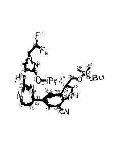 CC(C)Oc1nn(CC(F)F)cc1Nc1nccc(-c2cc(C#N)c3c(c2)[C@@](C)(CO[Si](C)(C)C(C)(C)C)CN3)n1